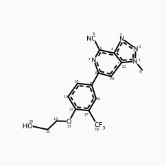 Cn1nnc2c(C#N)nc(-c3ccc(OCCO)c(C(F)(F)F)c3)cc21